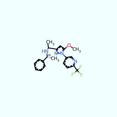 COc1cc(C(C)N[C@H](C)c2ccccc2)nn1-c1ccc(C(F)(F)F)nc1